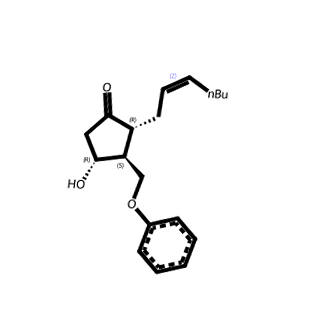 CCCC/C=C\C[C@H]1C(=O)C[C@@H](O)[C@@H]1COc1ccccc1